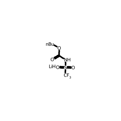 CCCCOC(=O)NS(=O)(=O)C(F)(F)F.[LiH]